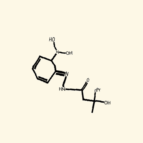 CCCC(C)(O)CC(=O)NN=C1C=CC=CC1N(O)O